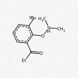 CCC(=O)c1cccc(C(C)(C)C)c1O[SiH](C)C